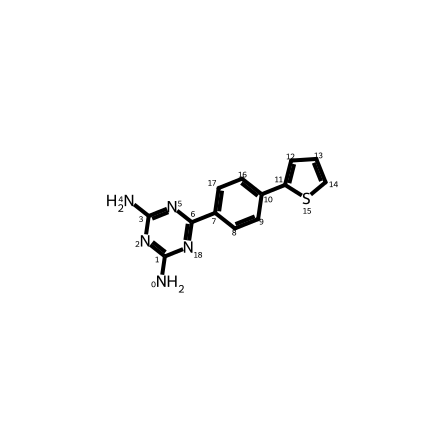 Nc1nc(N)nc(-c2ccc(-c3cccs3)cc2)n1